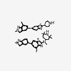 CN(c1nc2c(F)cc(-c3ccc4nn(C)cc4c3)cc2s1)C1CC(C)(C)NC(C)(C)C1.Cc1cc(-c2ccc3nc(C4CCNCC4)sc3c2)cc2cn(C)nc12